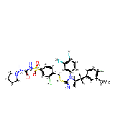 COc1cc(C(C)(C)c2cnc(SCc3ccc(S(=O)(=O)NC(=O)NN4CCCC4)cc3Cl)n2-c2ccc(F)c(F)c2)ccc1Cl